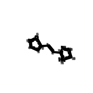 C(=C\c1ccno1)/c1nnc[nH]1